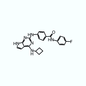 O=C(Nc1ccc(F)cc1)c1ccc(Nc2nc(NC3CCC3)c3cc[nH]c3n2)cc1